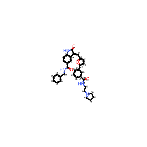 O=C1Nc2ccc(C(=O)NCc3ccccc3)cc2/C1=C\c1ccc(-c2cccc(C(=O)NCCN3CCCC3)c2)o1